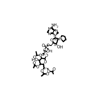 CC(=O)OC[C@H](OC(C)=O)C1OC(OP(=O)(O)OP(C)(=O)OC[C@H]2O[C@@H](n3cnc4c(N)ncnc43)[C@H](N3CCCC3)[C@@H]2O)C(OC(C)=O)C(O)C1OC(C)=O